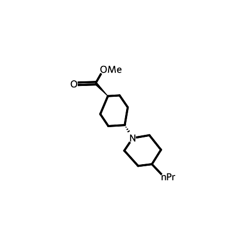 CCCC1CCN([C@H]2CC[C@H](C(=O)OC)CC2)CC1